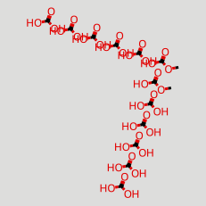 COC(=O)O.COC(=O)O.O=C(O)O.O=C(O)O.O=C(O)O.O=C(O)O.O=C(O)O.O=C(O)O.O=C(O)O.O=C(O)O.O=C(O)O.O=C(O)O